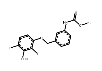 CC(C)(C)OC(=O)Nc1cccc(COc2ccc(F)c(C=O)c2F)c1